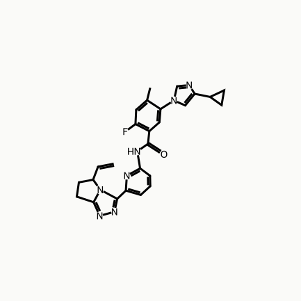 C=CC1CCc2nnc(-c3cccc(NC(=O)c4cc(-n5cnc(C6CC6)c5)c(C)cc4F)n3)n21